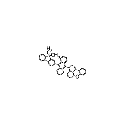 CC1(C)c2ccccc2-c2ccc(-c3c4ccccc4c(-c4ccc5c6c(cccc46)Oc4ccccc4-5)c4ccccc34)cc21